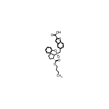 CCCCOC(=O)[C@@H]1CCCN1P(=O)(Cc1ccc2sc(C(=O)O)cc2c1)Oc1ccccc1